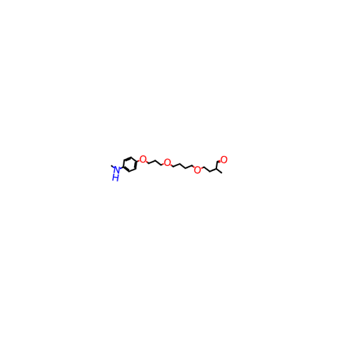 CNc1ccc(OCCCOCCCCOCCC(C)C=O)cc1